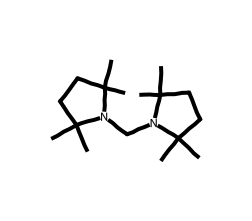 CC1(C)CCC(C)(C)N1CN1C(C)(C)CCC1(C)C